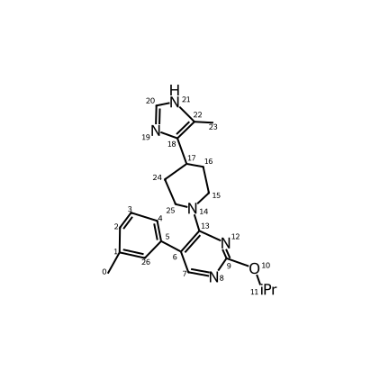 Cc1cccc(-c2cnc(OC(C)C)nc2N2CCC(c3nc[nH]c3C)CC2)c1